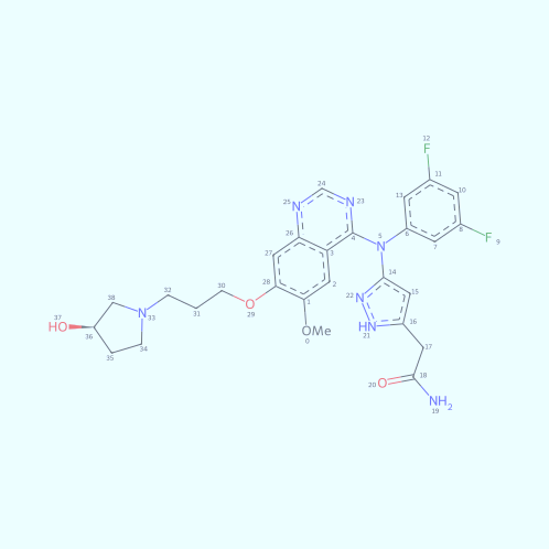 COc1cc2c(N(c3cc(F)cc(F)c3)c3cc(CC(N)=O)[nH]n3)ncnc2cc1OCCCN1CC[C@@H](O)C1